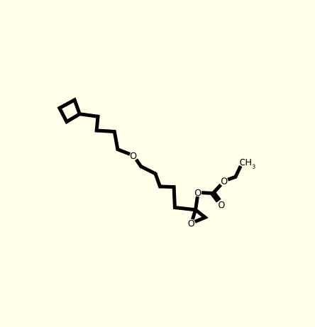 CCOC(=O)OC1(CCCCCOCCCCC2CCC2)CO1